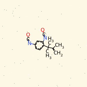 C=C(C)C(C)(C)c1ccc(N=C=O)cc1N=C=O